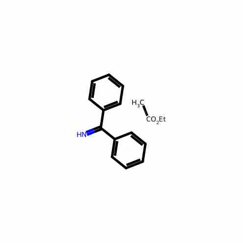 CCOC(C)=O.N=C(c1ccccc1)c1ccccc1